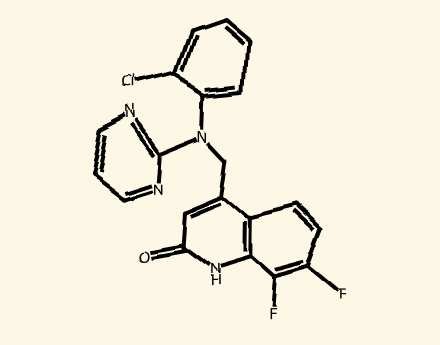 O=c1cc(CN(c2ncccn2)c2ccccc2Cl)c2ccc(F)c(F)c2[nH]1